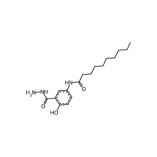 CCCCCCCCCC(=O)Nc1ccc(O)c(C(=O)NN)c1